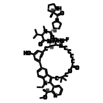 CCn1c(-c2cccnc2[C@H](C)OC)c2c3cc(ccc31)-c1cc(O)cc(c1)C[C@H](NC(=O)C(C(C)C)N(C)C(=O)[C@H]1CCN(C(=O)[C@]3(C)CCCN3)C1)C(=O)N(NF)CCCCC(=O)OCC(C)(C)C2